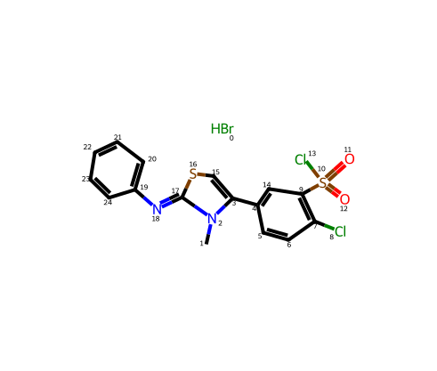 Br.Cn1c(-c2ccc(Cl)c(S(=O)(=O)Cl)c2)csc1=Nc1ccccc1